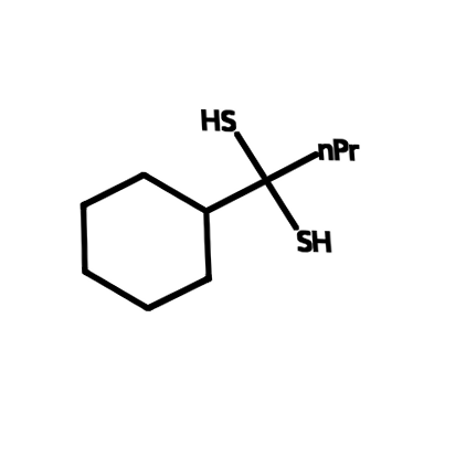 CCCC(S)(S)C1CCCCC1